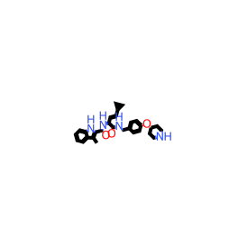 Cc1c(C(=O)NC(/C=C/C2CC2)C(=O)NCc2ccc(OC3CCNCC3)cc2)[nH]c2ccccc12